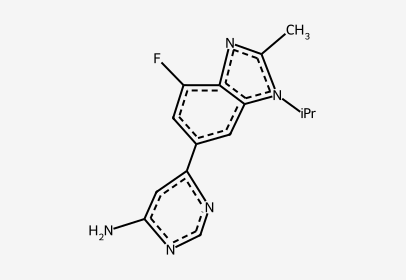 Cc1nc2c(F)cc(-c3cc(N)ncn3)cc2n1C(C)C